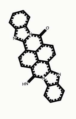 N=c1c2ccc3c4c(ccc(c24)c2nc4ccccc4n12)c(=O)n1c2ccccc2nc31